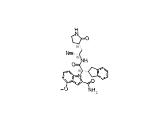 COc1cccc2c1cc(C(N)=O)n2[C@H](C(=O)N[C@H](C#N)C[C@@H]1CCNC1=O)C1Cc2ccccc2C1